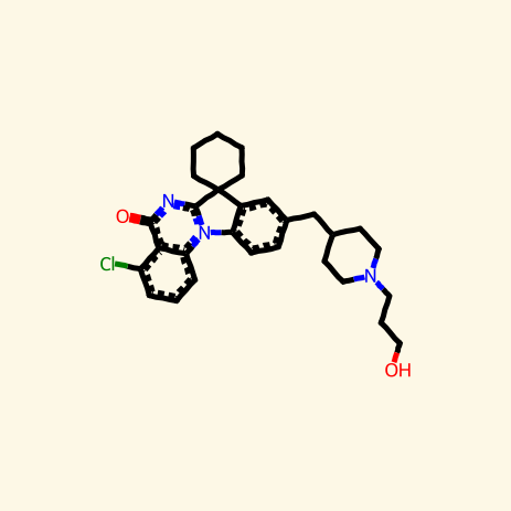 O=c1nc2n(c3cccc(Cl)c13)-c1ccc(CC3CCN(CCCO)CC3)cc1C21CCCCC1